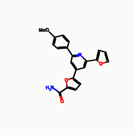 COc1ccc(-c2cc(-c3ccc(C(N)=O)o3)cc(-c3ccco3)n2)cc1